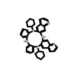 c1ccc2c(c1)Nc1ccccc1P(C1CCCCC1)c1cc3cccnc3cc1Nc1cc3ncccc3cc1P2C1CCCCC1